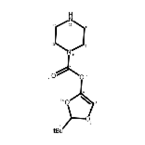 CC(C)(C)C1OC=C(OC(=O)N2CCNCC2)O1